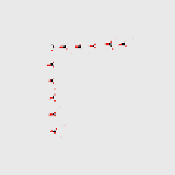 CCO.O=C(O)O.O=C(O)O.O=C(O)O.O=C(O)O.O=C(O)O.O=C(O)O.O=C(O)O.O=C(O)O.O=C(O)O.O=C(O)O